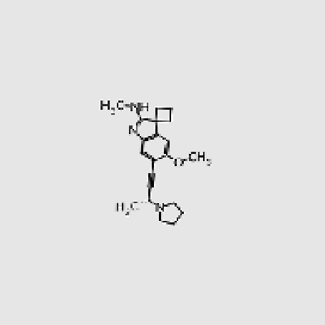 CNC1=Nc2cc(C#C[C@@H](C)N3CCCC3)c(OC)cc2C12CCC2